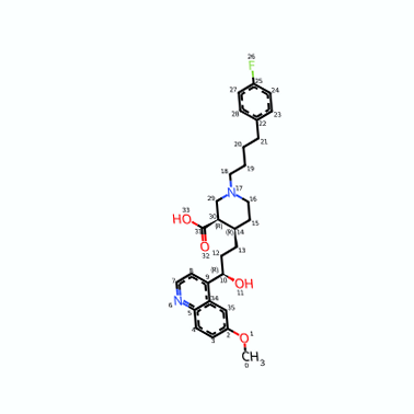 COc1ccc2nccc([C@H](O)CC[C@@H]3CCN(CCCCc4ccc(F)cc4)C[C@@H]3C(=O)O)c2c1